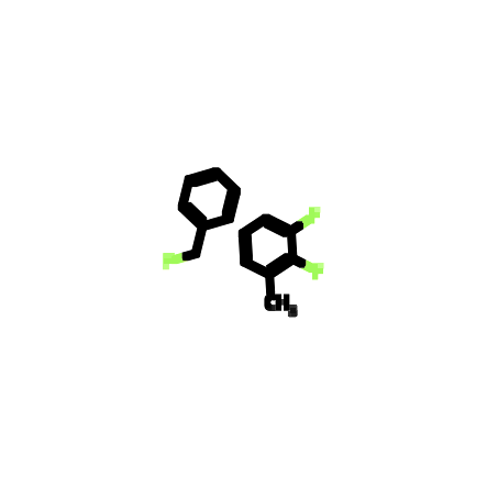 Cc1cccc(F)c1F.FCc1ccccc1